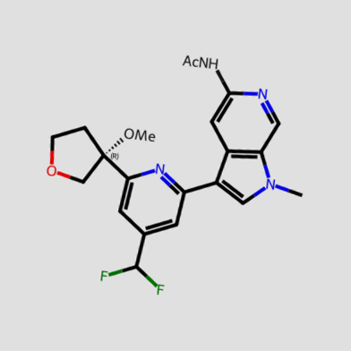 CO[C@@]1(c2cc(C(F)F)cc(-c3cn(C)c4cnc(NC(C)=O)cc34)n2)CCOC1